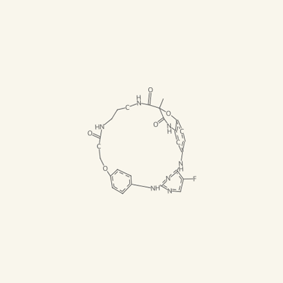 CC12Oc3ccc(cc3NC1=O)Nc1nc(ncc1F)Nc1ccc(cc1)OCCC(=O)NCCCNC2=O